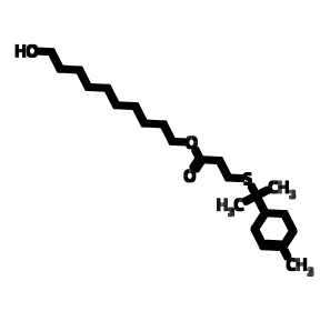 CC1=CCC(C(C)(C)SCCC(=O)OCCCCCCCCCCO)CC1